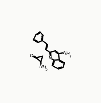 NC1CC1=O.Nc1cc(C=Cc2ccccc2)nc2ccccc12